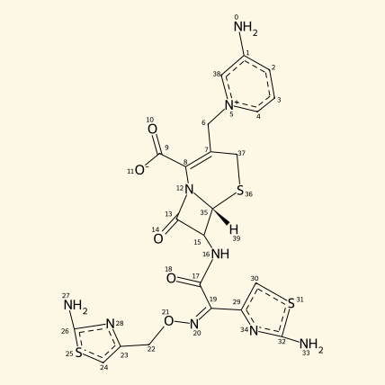 Nc1ccc[n+](CC2=C(C(=O)[O-])N3C(=O)C(NC(=O)/C(=N\OCc4csc(N)n4)c4csc(N)n4)[C@H]3SC2)c1